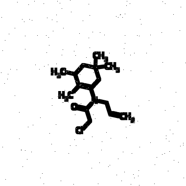 C=CCN(C(=O)CCl)C1=C(C)C(C)CC(C)(C)C1